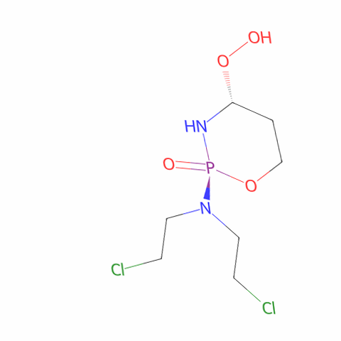 O=[P@]1(N(CCCl)CCCl)N[C@H](OO)CCO1